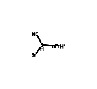 CCC[SH](Br)C#N.[H+]